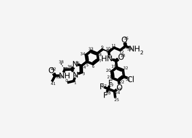 CCn1cc(-c2ccc(C[C@@H](CCC(N)=O)NC(=O)c3ccc(OC(C)C(F)(F)F)c(Cl)c3)cc2)nc1[C@@H](C)NC(C)=O